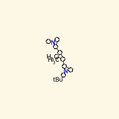 CC(C)(C)c1ccc(-n2c3ccccc3c3cc(-c4ccc5c(c4)C(C)(C)c4cc(-c6ccc7c(c6)c6ccccc6n7-c6ccccc6)ccc4-5)ccc32)cc1